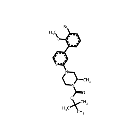 COc1c(Br)cccc1-c1ccnc(N2CCN(C(=O)OC(C)(C)C)[C@H](C)C2)c1